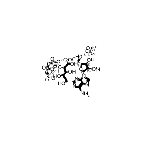 Nc1ncnc2c1ncn2[C@@H]1O[C@H](CO)[C@@H](O)[C@H]1O.O=C([O-])[C@H](O)[C@@H](O)[C@H](O)[C@H](O)CO.O=P([O-])([O-])OP(=O)([O-])OP(=O)([O-])[O-].[Cu+2].[Cu+2].[Cu+2]